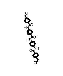 O=C(Nc1ccc(NC(=O)c2ccc(NC(=O)c3ccc(CCl)cc3)cc2)cc1)c1ccc(CCl)cc1